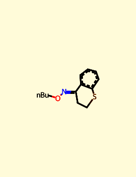 CCCCO/N=C1\CCSc2ccccc21